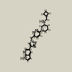 c1cc2cc(-c3cn(Cc4ccc(N5CCC[C@@H](NCC6CCC6)C5)nn4)nn3)cnc2[nH]1